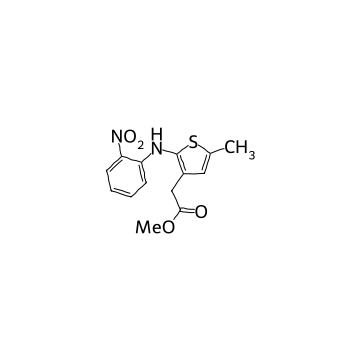 COC(=O)Cc1cc(C)sc1Nc1ccccc1[N+](=O)[O-]